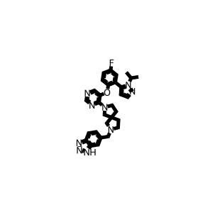 CC(C)n1nccc1-c1cc(F)ccc1Oc1cncnc1N1CCC2(CCN(Cc3ccc4nn[nH]c4c3)C2)C1